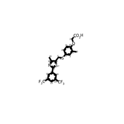 Cc1cc(SCc2sc(-c3cc(C(F)(F)F)cc(C(F)(F)F)c3)nc2C)ccc1OCC(=O)O